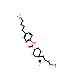 CCCCCc1ccc(OC(=O)[C@H]2CC[C@](C#N)(CCCCC)CC2)cc1